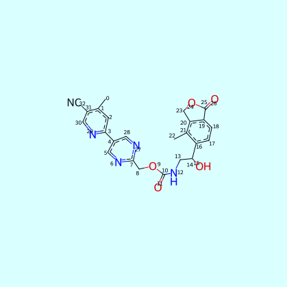 Cc1cc(-c2cnc(COC(=O)NCC(O)c3ccc4c(c3C)COC4=O)nc2)ncc1C#N